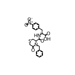 O=C(N[C@@H](Cc1ccc([N+](=O)[O-])cc1)C(=O)O)C1CSCC(=O)N1Cc1ccccc1